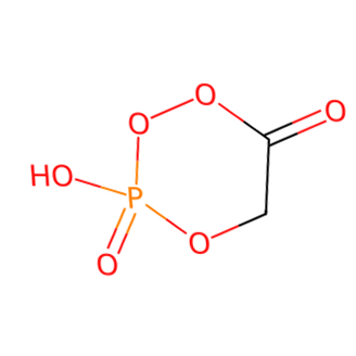 O=C1COP(=O)(O)OO1